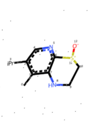 Cc1c(C(C)C)cnc2c1NCC[S+]2[O-]